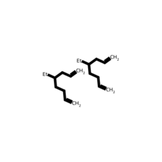 C=CCCC(CC)CC=C.C=CCCC(CC)CC=C